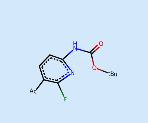 CC(=O)c1ccc(NC(=O)OC(C)(C)C)nc1F